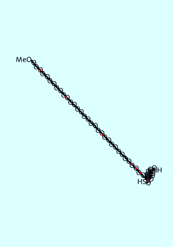 COCCOCCOCCOCCOCCOCCOCCOCCOCCOCCOCCOCCOCCOCCOCCOCCOCCOCCOCCOCCOCCOCCOCCOCCOCCOCCOCCOCCOCCOCCOCCOCCOCCOCCC[Si](C)(O[Si](=O)[Si](=O)[Si](=O)[Si](=O)[Si](=O)[Si](=O)[SiH]=O)[SiH]=O